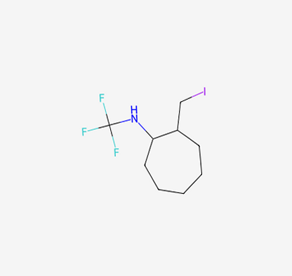 FC(F)(F)NC1CCCCCC1CI